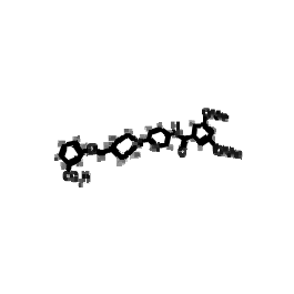 COc1cc(OC)cc(C(=O)Nc2ccc(N3CCC(COc4cccc(C(=O)O)c4)CC3)nc2)c1